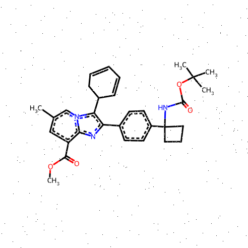 COC(=O)c1cc(C)cn2c(C3C=CC=CC3)c(-c3ccc(C4(NC(=O)OC(C)(C)C)CCC4)cc3)nc12